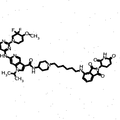 COC1CCN(c2nccc(Nc3cc4c(cn3)c(C(=O)NC3CCN(CCCCCCNc5cccc6c5C(=O)N(C5CCC(=O)NC5=O)C6=O)CC3)cn4C(C)C)n2)CC1(F)F